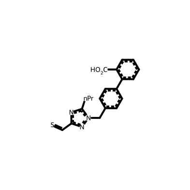 CCCc1nc(C=S)nn1Cc1ccc(-c2ccccc2C(=O)O)cc1